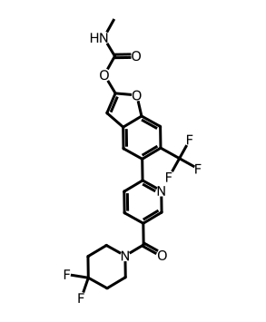 CNC(=O)Oc1cc2cc(-c3ccc(C(=O)N4CCC(F)(F)CC4)cn3)c(C(F)(F)F)cc2o1